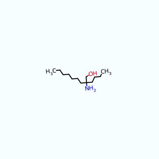 CCCCCCCC(N)(CO)CCCC